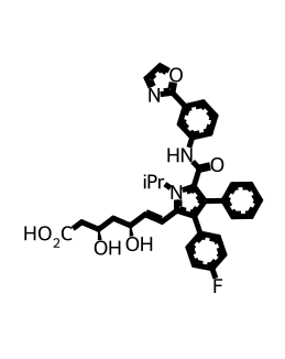 CC(C)n1c(/C=C/[C@@H](O)C[C@@H](O)CC(=O)O)c(-c2ccc(F)cc2)c(-c2ccccc2)c1C(=O)Nc1cccc(-c2ncco2)c1